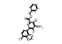 Nc1c(F)c(-c2ccc(Cl)c3c2OCO3)nc(C(=O)OCc2ccccc2)c1Cl